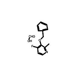 Cc1nccc(F)c1OCc1ccccc1.O=CO